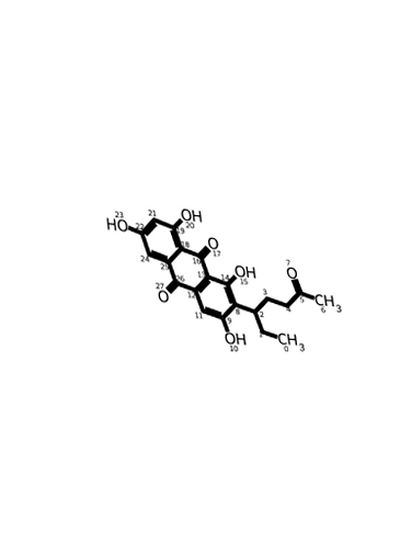 CCC(CCC(C)=O)c1c(O)cc2c(c1O)C(=O)c1c(O)cc(O)cc1C2=O